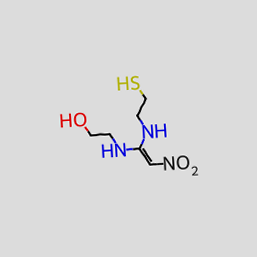 O=[N+]([O-])C=C(NCCO)NCCS